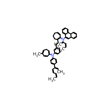 C=C(/C=C\C)N(C1=CC2C=CC=CC2c2ccccc21)C1=C(CCc2cccc(N(C3=CCC=C(C)C=C3)c3ccc(C(/C=C\C=C/C)=C/C)cc3)c2)CCCC=C1